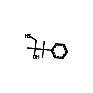 CC(O)(CS)C(C)(C)c1ccccc1